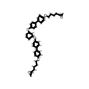 c1cc(Oc2ccc(-c3ccc(OCCCCC4CO4)cc3)cc2)cc(Oc2ccc(-c3ccc(OCCCCC4CO4)cc3)cc2)c1